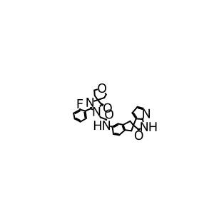 O=C(CN1C(=O)C2(CCOCC2)N=C1c1ccccc1F)Nc1ccc2c(c1)CC1(C2)C(=O)Nc2ncccc21